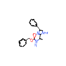 CC(NC(=O)OCc1ccccc1)c1nc(-c2ccccc2)c[nH]1